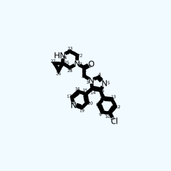 O=C(Cn1cnc(-c2ccc(Cl)cc2)c1-c1ccncc1)N1CCNC2(CC2)C1